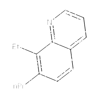 CCCc1ccc2cccnc2c1CC